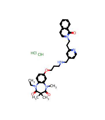 CCN1C(=O)C(C)(C)C(=O)N(C)c2cc(OCCCNCc3ccnc(CCn4ccc5ccccc5c4=O)c3)ccc21.Cl.Cl